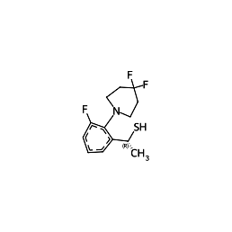 C[C@@H](S)c1cccc(F)c1N1CCC(F)(F)CC1